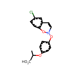 CC(Oc1ccc(ON2C=Cc3cc(Cl)ccc3O2)cc1)C(=O)O